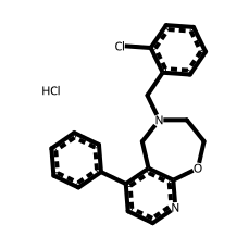 Cl.Clc1ccccc1CN1CCOc2nccc(-c3ccccc3)c2C1